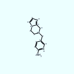 Nc1ccc(CN2CCn3ccnc3C2)cn1